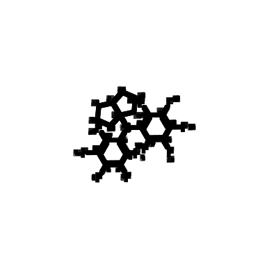 Fc1c(F)c(F)c(B(c2c(F)c(F)c(F)c(F)c2F)C23CCCC2CCC3)c(F)c1F